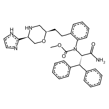 COC(=O)N(c1ccccc1CC[C@@H]1CN[C@H](c2ncc[nH]2)CO1)[C@H](C(N)=O)C(c1ccccc1)c1ccccc1